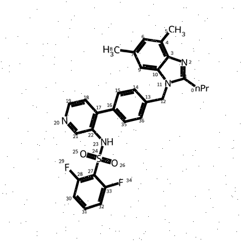 CCCc1nc2c(C)cc(C)cc2n1Cc1ccc(-c2ccncc2NS(=O)(=O)c2c(F)cccc2F)cc1